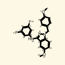 COc1ccc(Cn2nc(Nc3cc(F)cc(F)c3)c3cc(OC)ccc32)cc1